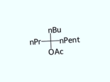 CCCCCC(CCC)(CCCC)OC(C)=O